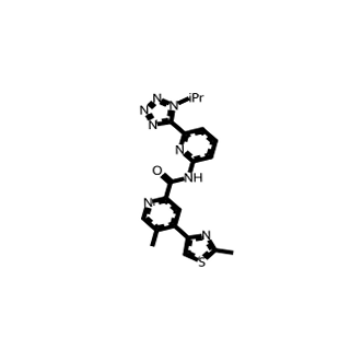 Cc1nc(-c2cc(C(=O)Nc3cccc(-c4nnnn4C(C)C)n3)ncc2C)cs1